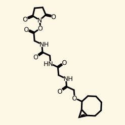 O=C(CNC(=O)COC1CCCCCC2=CC21)NCC(=O)NCC(=O)ON1C(=O)CCC1=O